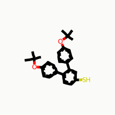 CC(C)(C)Oc1ccc(-c2ccc(S)cc2-c2ccc(OC(C)(C)C)cc2)cc1